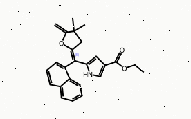 C=C1O/C(=C(/c2cc(C(=O)OCC)c[nH]2)c2cccc3ccccc23)CC1(C)C